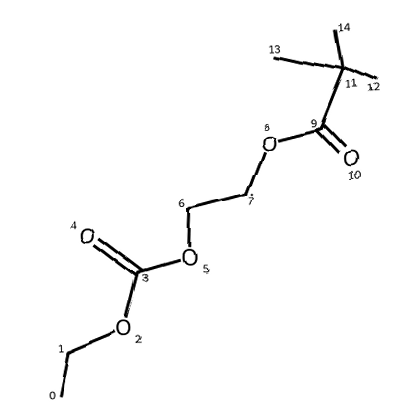 CCOC(=O)OC[CH]OC(=O)C(C)(C)C